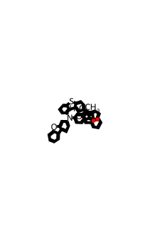 CC1(C)c2ccccc2-c2ccc(N(c3ccc4c(c3)oc3ccccc34)c3cccc4sc5ccc6c7cc8ccccc8cc7oc6c5c34)cc21